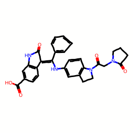 O=C1Nc2cc(C(=O)O)ccc2C1=C(Nc1ccc2c(c1)CCN2C(=O)CN1CCCC1=O)c1ccccc1